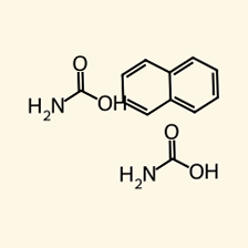 NC(=O)O.NC(=O)O.c1ccc2ccccc2c1